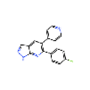 Fc1ccc(-c2nc3[nH]ncc3cc2-c2ccncc2)cc1